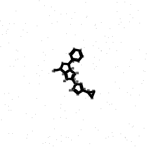 FC1CC(c2ccccc2)n2nc(-n3cc(C4CC4)cn3)nc21